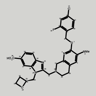 CNc1cc2c(nc1OCc1ccc(Cl)cc1F)CN(Cc1nc3ccc(C(=O)O)cc3n1C[C@@H]1CCO1)CC2